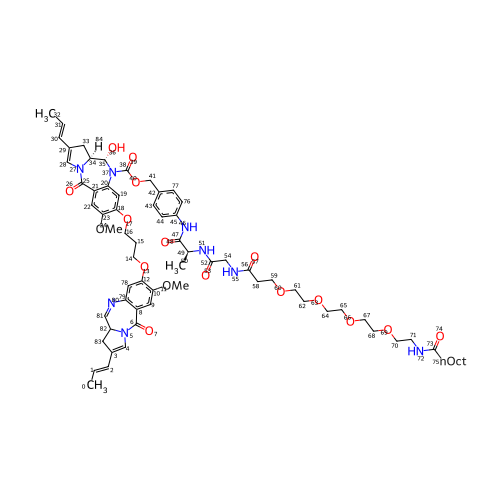 C/C=C/C1=CN2C(=O)c3cc(OC)c(OCCCOc4cc5c(cc4OC)C(=O)N4C=C(/C=C/C)C[C@H]4[C@H](O)N5C(=O)OCc4ccc(NC(=O)[C@H](C)NC(=O)CNC(=O)CCOCCOCCOCCOCCNC(=O)CCCCCCCC)cc4)cc3N=CC2C1